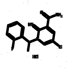 CC(c1ccccc1F)n1cc(Cl)cc(C(N)=O)c1=N.Cl